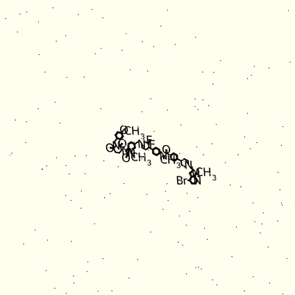 COc1ccc(CN2C(=O)CCC(n3c(=O)n(C)c4cc(CN5CCC(c6ccc(N(C)C(=O)c7ccc(C8CCN(Cc9cc%10c(Br)ccnc%10n9C)CC8)cc7)cc6)C(F)(F)C5)ccc43)C2=O)cc1